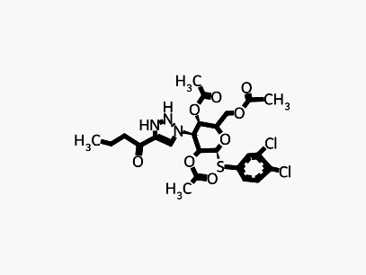 CCCC(=O)C1=CN([C@@H]2C(OC(C)=O)[C@@H](Sc3ccc(Cl)c(Cl)c3)OC(COC(C)=O)[C@@H]2OC(C)=O)NN1